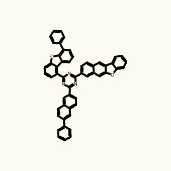 c1ccc(-c2ccc3cc(-c4nc(-c5ccc6cc7c(cc6c5)oc5ccccc57)nc(-c5cccc6oc7c(-c8ccccc8)cccc7c56)n4)ccc3c2)cc1